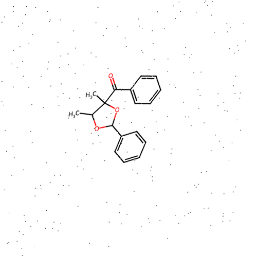 CC1OC(c2ccccc2)OC1(C)C(=O)c1ccccc1